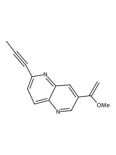 C=C(OC)c1cnc2ccc(C#CC)nc2c1